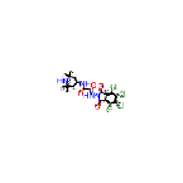 CC1(C)CC(NC(=O)C(=O)NN2C(=O)c3c(Cl)c(Cl)c(Cl)c(Cl)c3C2=O)CC(C)(C)N1